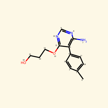 Cc1ccc(-c2c(N)ncnc2OCCCO)cc1